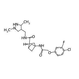 CC1NN(C)CC1CNC(=O)[C@@H]1CC2(NC(=O)COc3ccc(Cl)c(F)c3)CC1C2